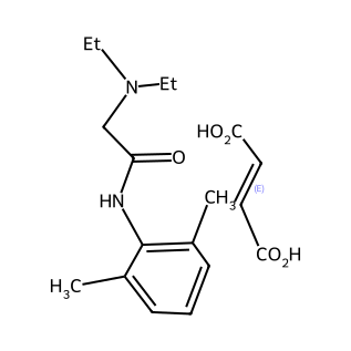 CCN(CC)CC(=O)Nc1c(C)cccc1C.O=C(O)/C=C/C(=O)O